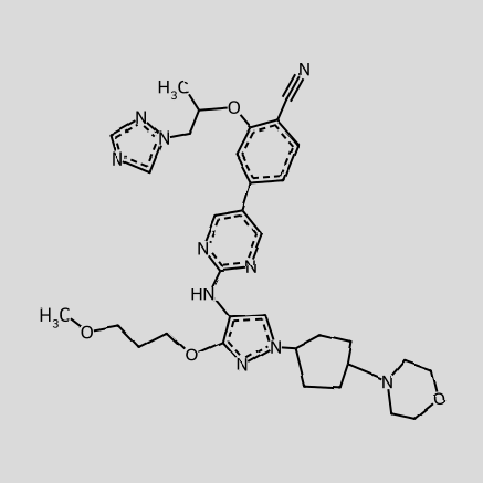 COCCCOc1nn(C2CCC(N3CCOCC3)CC2)cc1Nc1ncc(-c2ccc(C#N)c(OC(C)Cn3cncn3)c2)cn1